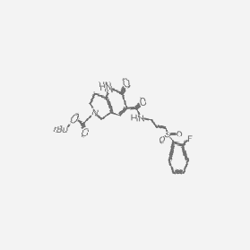 CC(C)(C)OC(=O)N1CCc2[nH]c(=O)c(C(=O)NC/C=C/S(=O)(=O)c3ccccc3F)cc2C1